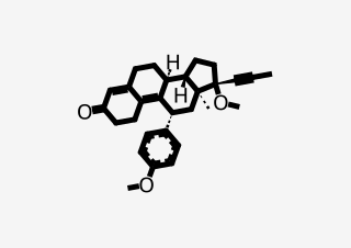 CC#C[C@]1(OC)CC[C@H]2[C@@H]3CCC4=CC(=O)CCC4=C3[C@@H](c3ccc(OC)cc3)C[C@@]21C